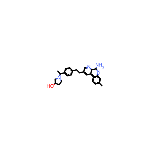 Cc1ccc2c(c1)=NC(N)C1N=CC(CCc3ccc(C(C)N4CCC(O)C4)cc3)=CC=21